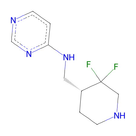 FC1(F)CNCC[C@@H]1CNc1ccncn1